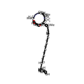 CO[C@H]1C[C@@H]2CC[C@@H](C)[C@@](O)(O2)C(=O)C(=O)N2CCCC[C@H]2C(=O)O[C@H]([C@H](C)C[C@@H]2CC[C@@H](OCCOCc3cn(CCOCCOCCOCCOCCOCCOCCOCCOCCC(=O)NCCCCn4nc(-c5cc6cc(O)ccc6[nH]5)c5c(N)ncnc54)nn3)[C@H](OC)C2)CC(=O)[C@H](C)/C=C(\C)[C@@H](O)[C@@H](OC)C(=O)[C@H](C)C[C@H](C)/C=C/C=C/C=C/1C